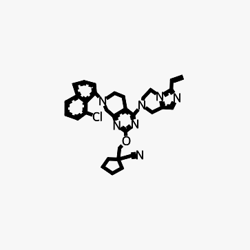 C=Cc1ncc2n1CCN(c1nc(OCC3(C#N)CCCC3)nc3c1CCN(c1cccc4cccc(Cl)c14)C3)C2